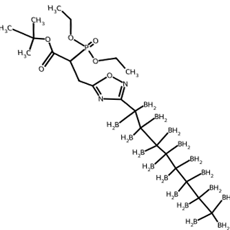 BC(B)(B)C(B)(B)C(B)(B)C(B)(B)C(B)(B)C(B)(B)C(B)(B)C(B)(B)c1noc(CC(C(=O)OC(C)(C)C)P(=O)(OCC)OCC)n1